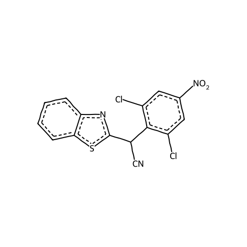 N#CC(c1nc2ccccc2s1)c1c(Cl)cc([N+](=O)[O-])cc1Cl